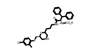 Cc1cc(Cl)ccc1SC[C@@H]1CNCC(CCCNC(=O)[C@@H](NC(=O)O)C(c2ccccc2)c2ccccc2)O1